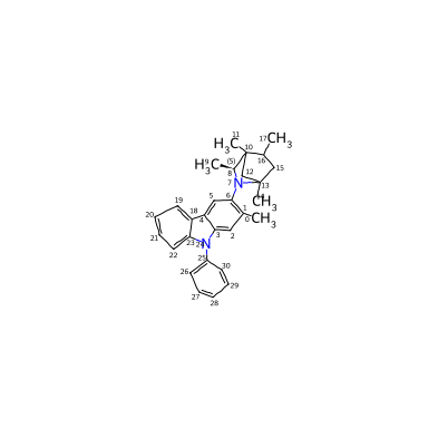 Cc1cc2c(cc1N1[C@@H](C)C3(C)CC1(C)CC3C)c1ccccc1n2-c1ccccc1